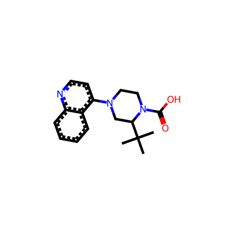 CC(C)(C)C1CN(c2ccnc3ccccc23)CCN1C(=O)O